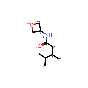 CC(C)C(C)CC(=O)NC1COC1